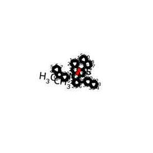 CC1(C)c2ccccc2-c2cc(N(c3ccc4ccccc4c3)c3cccc(-c4ccc5ccccc5c4)c3-c3ccc4c(c3)sc3ccc5ccccc5c34)ccc21